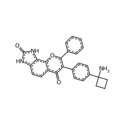 NC1(c2ccc(-c3c(-c4ccccc4)oc4c(ccc5[nH]c(=O)[nH]c54)c3=O)cc2)CCC1